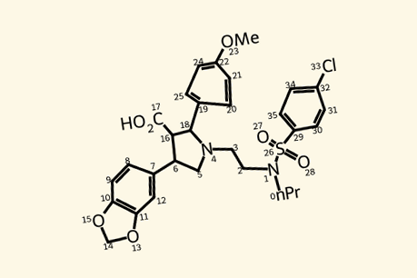 CCCN(CCN1CC(c2ccc3c(c2)OCO3)C(C(=O)O)C1c1ccc(OC)cc1)S(=O)(=O)c1ccc(Cl)cc1